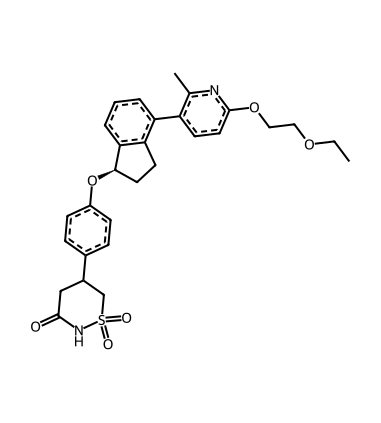 CCOCCOc1ccc(-c2cccc3c2CC[C@H]3Oc2ccc(C3CC(=O)NS(=O)(=O)C3)cc2)c(C)n1